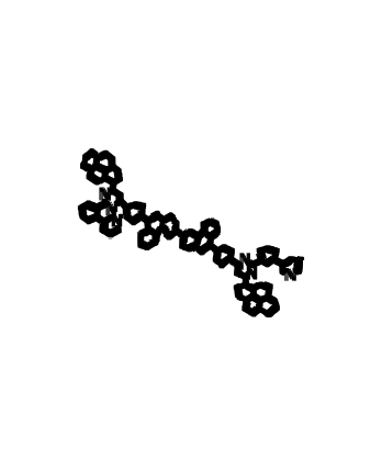 c1cncc(-c2cccc(-c3nc(-c4ccc(-c5cc6ccc(-c7ccc8cc(-c9ccc(-c%10cc(-c%11ccc%12ccc%13cccc%14ccc%11c%12c%13%14)nc(-c%11ccccc%11-c%11cccnc%11)n%10)cc9)c9ccccc9c8c7)cc6c6ccccc56)cc4)cc(-c4ccc5ccc6cccc7ccc4c5c67)n3)c2)c1